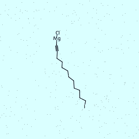 [Cl][Mg][C]#CCCCCCCCCCCI